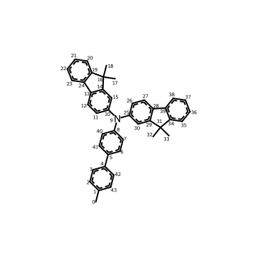 Cc1ccc(-c2ccc(N(c3ccc4c(c3)C(C)(C)c3ccccc3-4)c3ccc4c(c3)C(C)(C)c3ccccc3-4)cc2)cc1